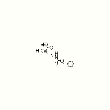 C[C@@H](CCCNC(=O)OCc1ccccc1)C(=O)O